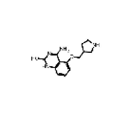 NC1=NC(O)Nc2cccc(OCC3CCNC3)c21